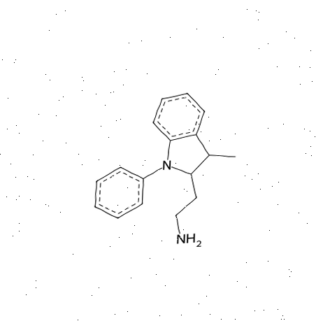 CC1c2ccccc2N(c2ccccc2)C1CCN